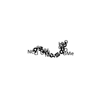 COc1cc(N2CCN(CC3CCN(c4ncc(C(=O)NC5C(C)(C)C(Oc6ccc(C#N)c(Cl)c6)C5(C)C)cn4)CC3)CC2)cc2c1C(=O)N(C1CCC(=O)NC1=O)C2=O